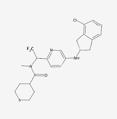 CN(C(=O)C1CCSCC1)C(c1ccc(NC2Cc3cccc(Cl)c3C2)cn1)C(F)(F)F